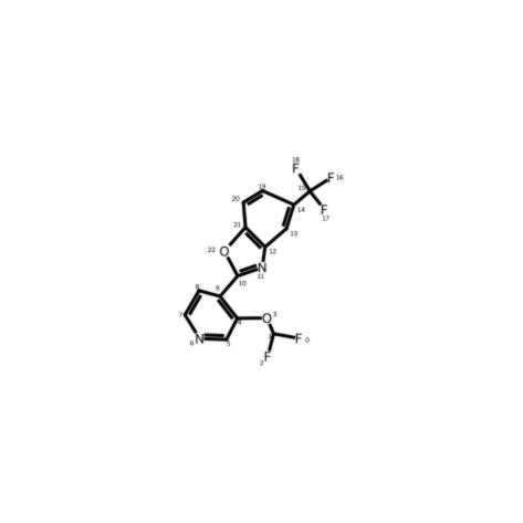 FC(F)Oc1cnccc1-c1nc2cc(C(F)(F)F)ccc2o1